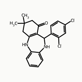 CC1(C)CC(=O)C2=C(C1)Nc1ccccc1NC2c1ccc(Cl)cc1Cl